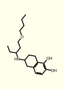 CCCCOCCC(CC)NC1CCc2c(ccc(O)c2O)C1